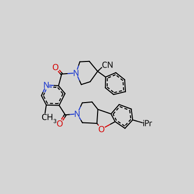 Cc1cnc(C(=O)N2CCC(C#N)(c3ccccc3)CC2)cc1C(=O)N1CCC2c3ccc(C(C)C)cc3OC2C1